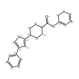 O=C(OC1=CN=CCC1)N1CCC(c2nc(-c3ccccc3)cs2)CC1